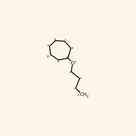 [CH2]CCCOC1CC[CH]CCC1